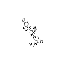 COc1ccc2c(Sc3cnc(N4CCC5(CC4)CO[C@@H](C)[C@H]5N)n4ccnc34)ccnc2c1